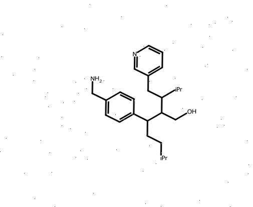 CC(C)CCC(c1ccc(CN)cc1)C(CO)C(Cc1cccnc1)C(C)C